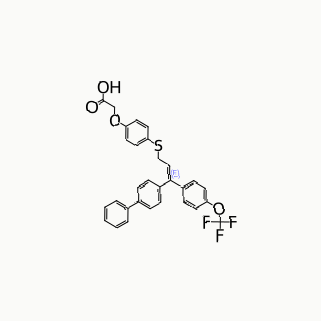 O=C(O)COc1ccc(SC/C=C(/c2ccc(OC(F)(F)F)cc2)c2ccc(-c3ccccc3)cc2)cc1